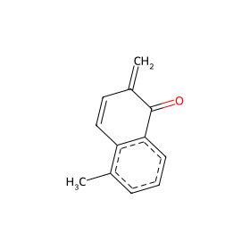 C=C1C=Cc2c(C)cccc2C1=O